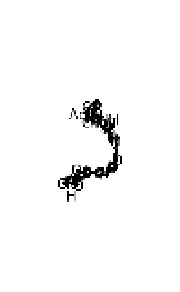 CC(=O)c1c(C)c2cnc(Nc3ccc(N4CCN(CCCCOc5ccc(CN6CCC(c7ccc8c(c7)CN(C7CCC(=O)NC7=O)C8=O)CC6)cc5)CC4)cn3)nc2n(C2CCCC2)c1=O